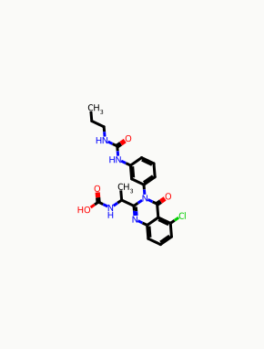 CCCNC(=O)Nc1cccc(-n2c(C(C)NC(=O)O)nc3cccc(Cl)c3c2=O)c1